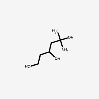 CC(C)(O)CC(O)CCO